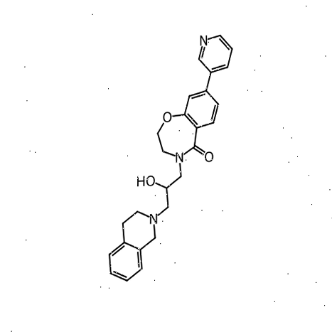 O=C1c2ccc(-c3cccnc3)cc2OCCN1CC(O)CN1CCc2ccccc2C1